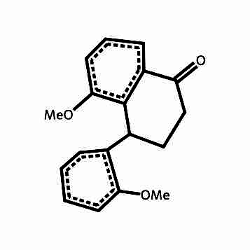 COc1ccccc1C1CCC(=O)c2cccc(OC)c21